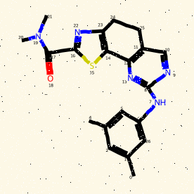 Cc1cc(C)cc(Nc2ncc3c(n2)-c2sc(C(=O)N(C)C)nc2CC3)c1